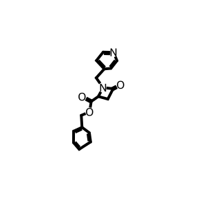 O=C(OCc1ccccc1)C1CC(=O)N1Cc1ccncc1